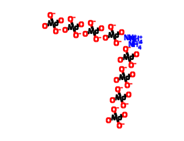 [NH4+].[NH4+].[NH4+].[O]=[Mo](=[O])([O-])[O-].[O]=[Mo](=[O])([O-])[O-].[O]=[Mo](=[O])([O-])[O-].[O]=[Mo](=[O])([O-])[O-].[O]=[Mo](=[O])([O-])[O-].[O]=[Mo](=[O])([O-])[O-].[O]=[Mo](=[O])([O-])[O-].[O]=[Mo](=[O])([O-])[O-]